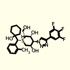 Cc1ccccc1[C@@H]([SH]1C[C@H](O)[C@H](n2cc(-c3cc(F)c(F)c(F)c3)nn2)[C@@H](O)[C@H]1CO)C1(O)CCCCC1